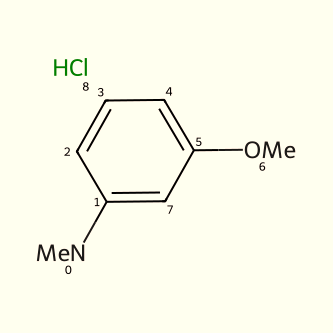 CNc1cccc(OC)c1.Cl